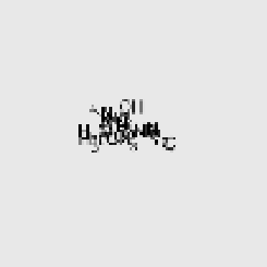 CC(C)(C)C(C(=O)N1C[C@H](O)C[C@H]1C(=O)NCc1ncc(-c2ccccc2)s1)n1cc(C2CC2)nn1